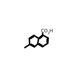 Cc1ccc2c(C(=O)O)cccc2c1